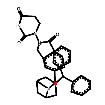 O=C1CCN(N2Cc3cc(CN4C5CC4CN(C(c4ccccc4)c4ccccc4)C5)ccc3C2=O)C(=O)N1